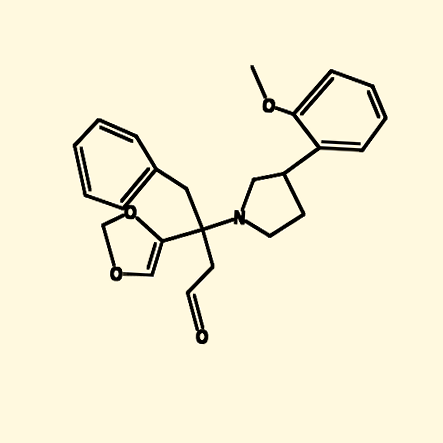 COc1ccccc1C1CCN(C(CC=O)(Cc2ccccc2)C2=COCO2)C1